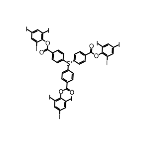 O=C(Oc1c(I)cc(I)cc1I)c1ccc([S+](c2ccc(C(=O)Oc3c(I)cc(I)cc3I)cc2)c2ccc(C(=O)Oc3c(I)cc(I)cc3I)cc2)cc1